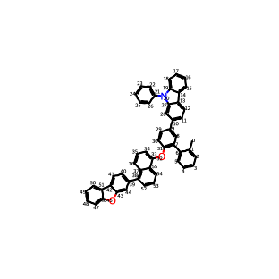 Cc1ccccc1-c1cc(-c2ccc3c4ccccc4n(-c4ccccc4)c3c2)ccc1Oc1cccc2c(-c3ccc4c(c3)oc3ccccc34)cccc12